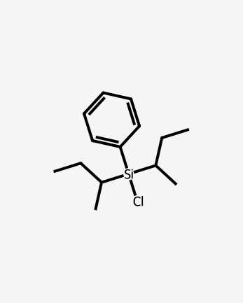 CCC(C)[Si](Cl)(c1ccccc1)C(C)CC